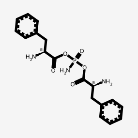 N[C@@H](Cc1ccccc1)C(=O)OP(N)(=O)OC(=O)[C@@H](N)Cc1ccccc1